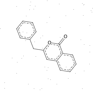 O=c1oc(Cc2ccccc2)cc2ccccc12